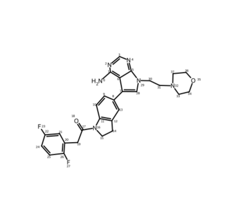 Nc1ncnc2c1c(-c1ccc3c(c1)CCN3C(=O)Cc1cc(F)ccc1F)cn2CCN1CCOCC1